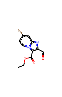 CCOC(=O)c1c(C=O)nc2cc(Br)ccn12